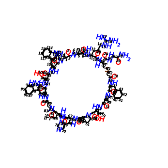 CCCC[C@H]1C(=O)N(C)[C@@H](CCCC)C(=O)N[C@@H](CCCNC(=N)N)C(=O)N[C@H](C(=O)NCC(N)=O)CSCC(=O)N[C@@H](Cc2ccccc2)C(=O)N(C)[C@@H](C)C(=O)N[C@@H]([C@@H](C)O)C(=O)N2CCC[C@H]2C(=O)N[C@@H](Cc2cnc[nH]2)C(=O)N[C@@H](CC(C)C)C(=O)N(C)CC(=O)N[C@@H](Cc2c[nH]c3ccccc23)C(=O)N[C@@H](CO)C(=O)N[C@@H](Cc2c[nH]c3ccccc23)C(=O)N1C